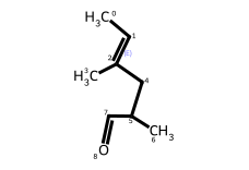 C/C=C(\C)CC(C)C=O